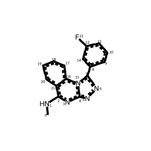 CNc1nc2nnc(-c3cccc(F)c3)n2c2ccccc12